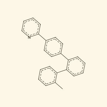 Cc1ccccc1-c1ccccc1-c1ccc(-c2ccccn2)cc1